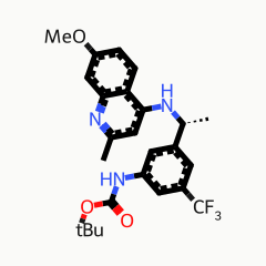 COc1ccc2c(N[C@H](C)c3cc(NC(=O)OC(C)(C)C)cc(C(F)(F)F)c3)cc(C)nc2c1